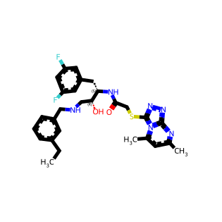 CCc1cccc(CNC[C@@H](O)[C@H](Cc2cc(F)cc(F)c2)NC(=O)CSc2nnc3nc(C)cc(C)n23)c1